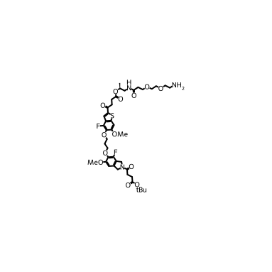 COc1cc2c(c(F)c1OCCCOc1c(OC)cc3sc(C(=O)CCC(=O)O[C@@H](C)CNC(=O)CCOCCOCCN)cc3c1F)CN(C(=O)CCC(=O)OC(C)(C)C)C2